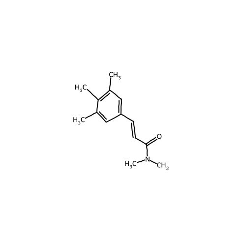 Cc1cc(/C=C/C(=O)N(C)C)cc(C)c1C